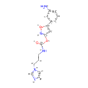 Nc1cccc(-c2cc(OC(=O)NCCCn3ccnc3)no2)c1